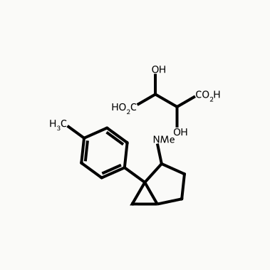 CNC1CCC2CC21c1ccc(C)cc1.O=C(O)C(O)C(O)C(=O)O